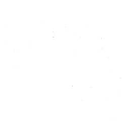 COc1ccc(C(=O)Nc2ccccc2C(=O)N/N=C/c2cccc(Cl)c2)cc1OC